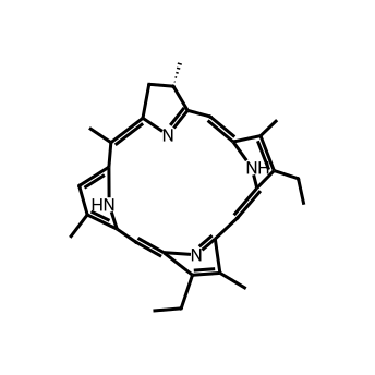 CCC1=C(C)c2cc3[nH]c(cc4nc(c(C)c5cc(C)c(cc1n2)[nH]5)C[C@@H]4C)c(C)c3CC